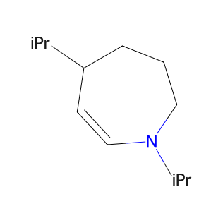 CC(C)C1C=CN(C(C)C)CCC1